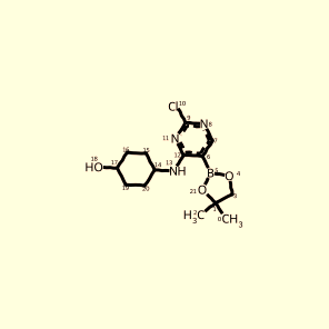 CC1(C)COB(c2cnc(Cl)nc2NC2CCC(O)CC2)O1